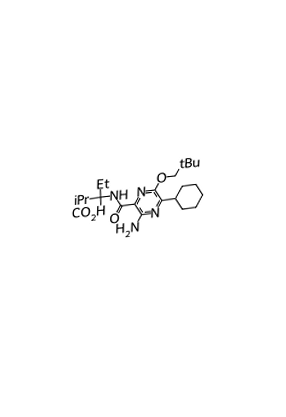 CCC(NC(=O)c1nc(OCC(C)(C)C)c(C2CCCCC2)nc1N)(C(=O)O)C(C)C